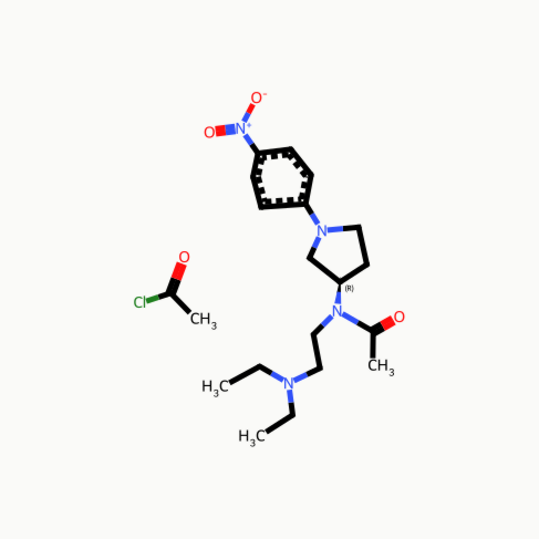 CC(=O)Cl.CCN(CC)CCN(C(C)=O)[C@@H]1CCN(c2ccc([N+](=O)[O-])cc2)C1